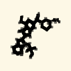 COc1cc(C(=O)N2CCC[C@@H](N)C2)cc2nc(-c3cc4cccnc4n3CC(C)(C)OC)n(C)c12